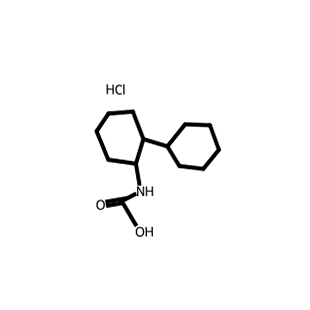 Cl.O=C(O)NC1CCCCC1C1CCCCC1